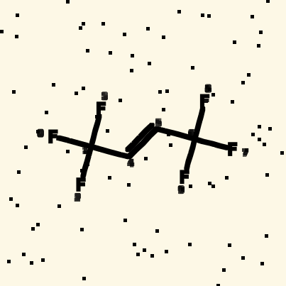 FC(F)(F)C=CC(F)(F)F